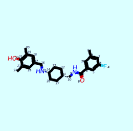 Cc1cc(F)cc(C(=O)NC[C@H]2CC[C@@H](NCc3cc(C)c(O)c(C)c3)CC2)c1